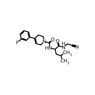 CC(C)CC(NC(=O)N1CC=C(c2cccc(F)c2)CC1)C(=O)NCC#N